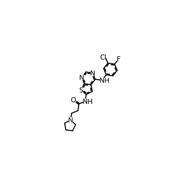 O=C(CCN1CCCC1)Nc1cc2c(Nc3ccc(F)c(Cl)c3)ncnc2s1